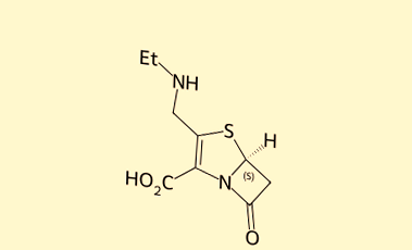 CCNCC1=C(C(=O)O)N2C(=O)C[C@@H]2S1